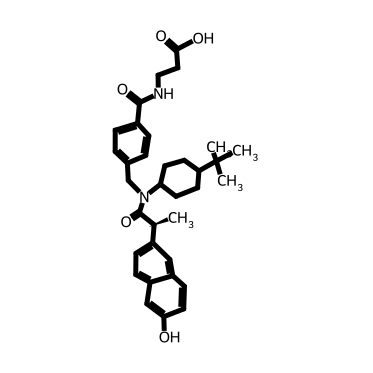 C[C@H](C(=O)N(Cc1ccc(C(=O)NCCC(=O)O)cc1)C1CCC(C(C)(C)C)CC1)c1ccc2cc(O)ccc2c1